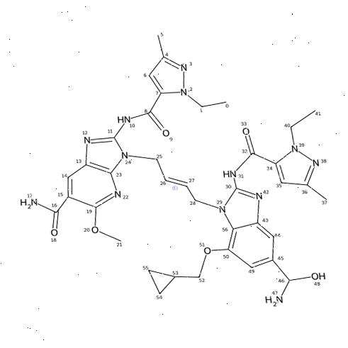 CCn1nc(C)cc1C(=O)Nc1nc2cc(C(N)=O)c(OC)nc2n1C/C=C/Cn1c(NC(=O)c2cc(C)nn2CC)nc2cc(C(N)O)cc(OCC3CC3)c21